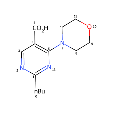 CCCCc1ncc(C(=O)O)c(N2CCOCC2)n1